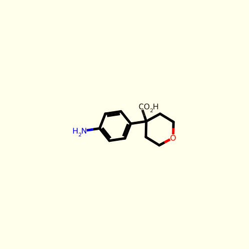 Nc1ccc(C2(C(=O)O)CCOCC2)cc1